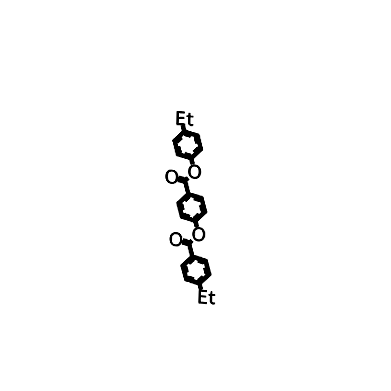 CCc1ccc(OC(=O)c2ccc(OC(=O)c3ccc(CC)cc3)cc2)cc1